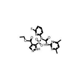 CCOC(=O)c1cn[nH]c1S(=O)(=O)N(C(=O)Nc1nc(C)cc(C)n1)c1cccc(F)n1